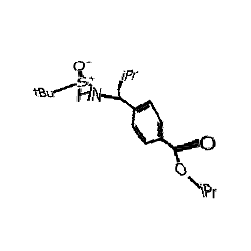 CC(C)OC(=O)c1ccc([C@@H](N[S+]([O-])C(C)(C)C)C(C)C)cc1